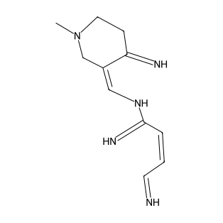 CN1CCC(=N)/C(=C\NC(=N)/C=C\C=N)C1